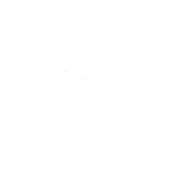 CC(I)(I)CCC(I)I